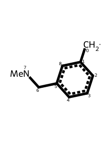 [CH2]c1cccc(CNC)c1